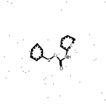 O=C(Nc1ccccc1)OSc1ccccc1